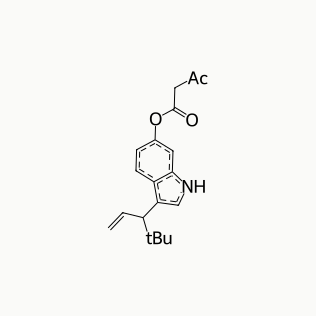 C=CC(c1c[nH]c2cc(OC(=O)CC(C)=O)ccc12)C(C)(C)C